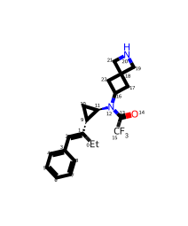 CC/C(=C\c1ccccc1)[C@@H]1C[C@H]1N(C(=O)C(F)(F)F)C1CC2(CNC2)C1